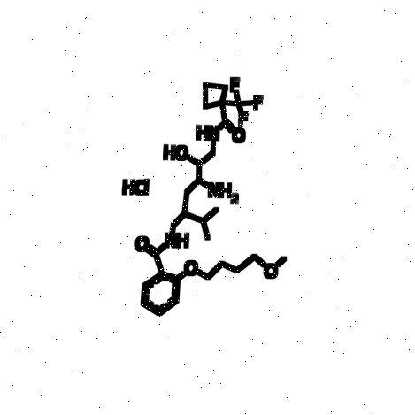 COCCCCOc1ccccc1C(=O)NCC(CC(N)C(O)CNC(=O)C1(C(F)(F)F)CCC1)C(C)C.Cl